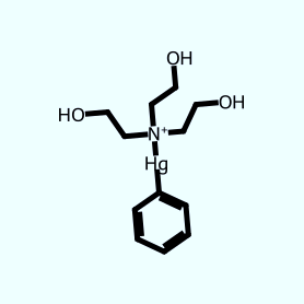 OCC[N+](CCO)(CCO)[Hg][c]1ccccc1